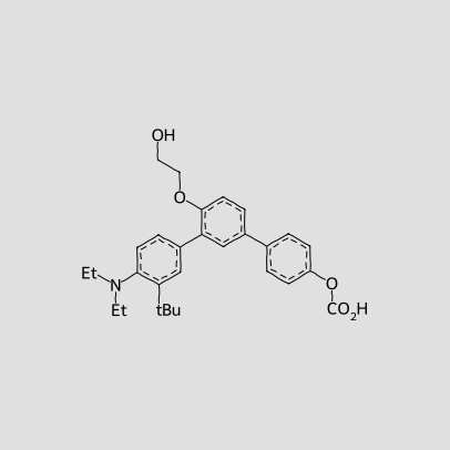 CCN(CC)c1ccc(-c2cc(-c3ccc(OC(=O)O)cc3)ccc2OCCO)cc1C(C)(C)C